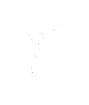 CCCCCCc1cccc(OCCF)c1